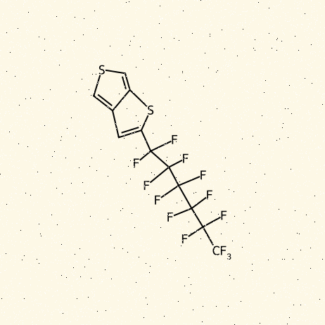 FC(F)(F)C(F)(F)C(F)(F)C(F)(F)C(F)(F)C(F)(F)c1cc2cscc2s1